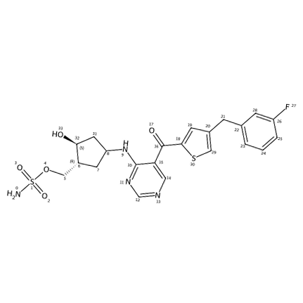 NS(=O)(=O)OC[C@H]1CC(Nc2ncncc2C(=O)c2cc(Cc3cccc(F)c3)cs2)C[C@@H]1O